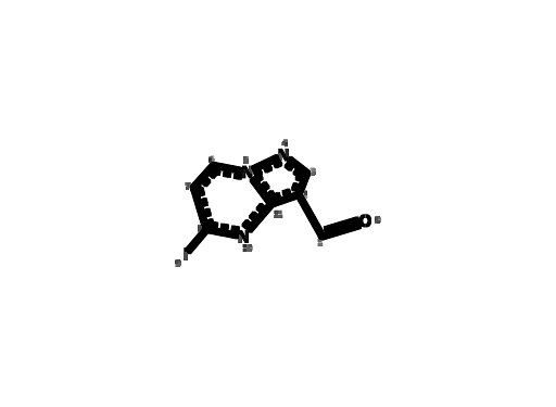 O=Cc1cnn2ccc(I)nc12